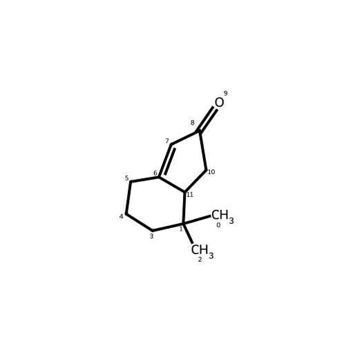 CC1(C)CCCC2=CC(=O)CC21